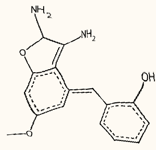 COc1cc2c(c(=Cc3ccccc3O)c1)=C(N)C(N)O2